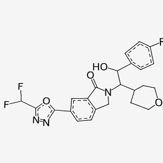 O=C1c2cc(-c3nnc(C(F)F)o3)ccc2CN1C(C1CCOCC1)C(O)c1ccc(F)cc1